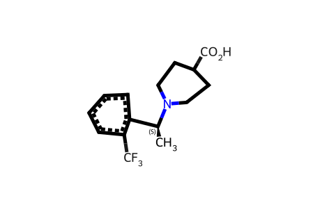 C[C@@H](c1ccccc1C(F)(F)F)N1CCC(C(=O)O)CC1